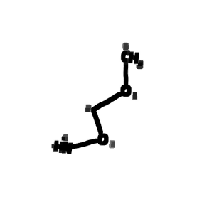 COCO[NH]